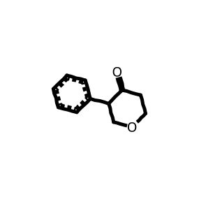 O=C1CCOCC1c1ccccc1